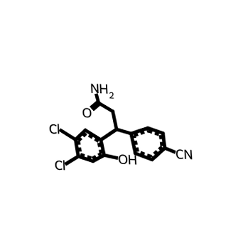 N#Cc1ccc(C(CC(N)=O)c2cc(Cl)c(Cl)cc2O)cc1